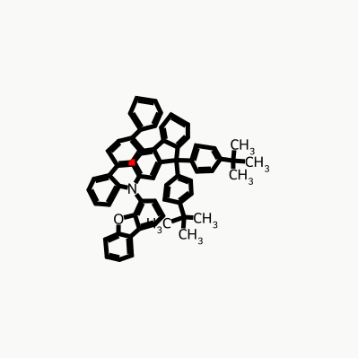 CC(C)(C)c1ccc(C2(c3ccc(C(C)(C)C)cc3)c3ccccc3-c3ccc(N(c4ccccc4-c4ccc(-c5ccccc5)cc4)c4cccc5c4oc4ccccc45)cc32)cc1